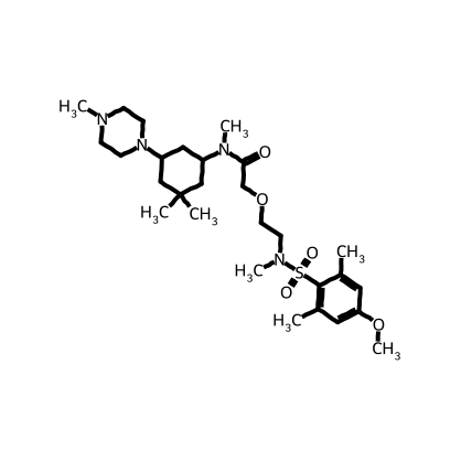 COc1cc(C)c(S(=O)(=O)N(C)CCOCC(=O)N(C)C2CC(N3CCN(C)CC3)CC(C)(C)C2)c(C)c1